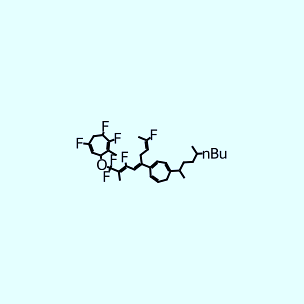 CCCCC(C)CCC(C)C1=CC=C(/C(=C/C(F)=C(\C)C(F)(F)OC2C=C(F)CC(F)C(F)=C2C)C/C=C(\C)F)C=CC1